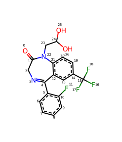 O=C1CN=C(c2ccccc2F)c2cc(C(F)(F)F)ccc2N1CC(O)O